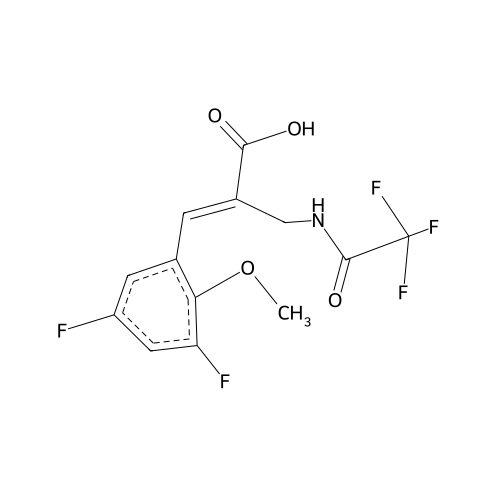 COc1c(F)cc(F)cc1/C=C(\CNC(=O)C(F)(F)F)C(=O)O